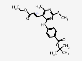 CCOC(=O)/C=C/c1c(C)nc(SC)nc1Nc1ccc(C(=O)OC(C)(C)C)cc1